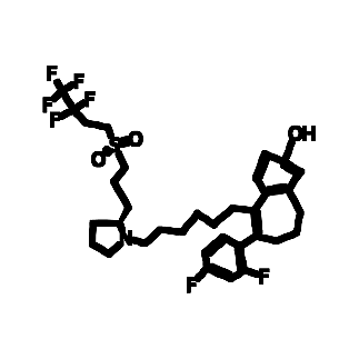 O=S(=O)(CCC[C@@H]1CCCN1CCCCCCC1=C(c2ccc(F)cc2F)CCCc2cc(O)ccc21)CCC(F)(F)C(F)(F)F